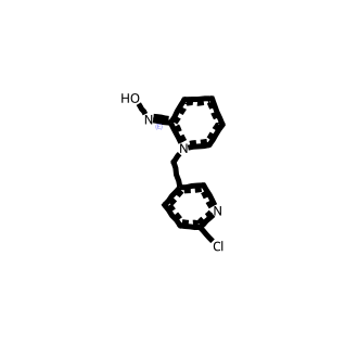 O/N=c1\ccccn1Cc1ccc(Cl)nc1